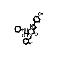 COc1ccc(-c2cc3n(n2)CC(C)(C(=O)NC2CCCCC2)N(Cc2ccccc2F)C3=O)cc1